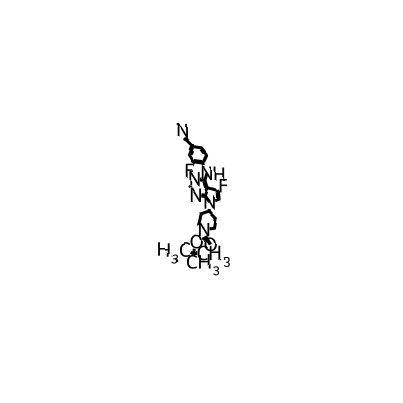 CC(C)(C)OC(=O)N1CCC(n2cc(F)c3c(Nc4ccc(C#N)cc4F)ncnc32)CC1